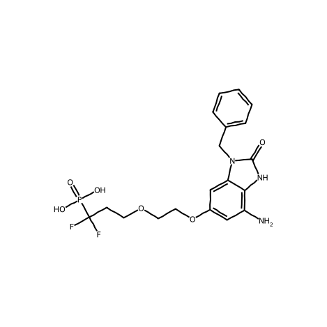 Nc1cc(OCCOCCC(F)(F)P(=O)(O)O)cc2c1[nH]c(=O)n2Cc1ccccc1